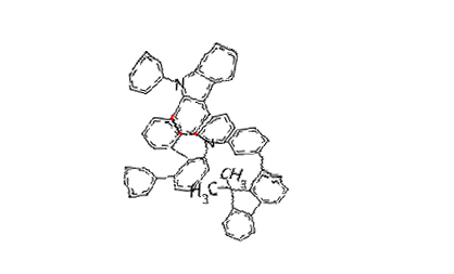 CC1(C)c2ccccc2-c2cccc(-c3cccc(N(c4ccc5c(c4)c4ccccc4n5-c4ccccc4)c4cccc(-c5ccccc5)c4-c4ccccc4-c4ccccc4)c3)c21